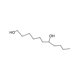 CCCCC(O)CCCCCCO